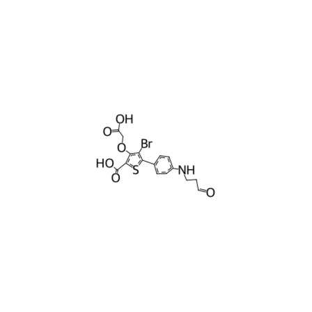 O=CCCNc1ccc(-c2sc(C(=O)O)c(OCC(=O)O)c2Br)cc1